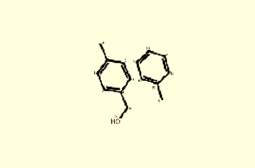 Cc1ccc(CO)cc1.Cc1ccccc1